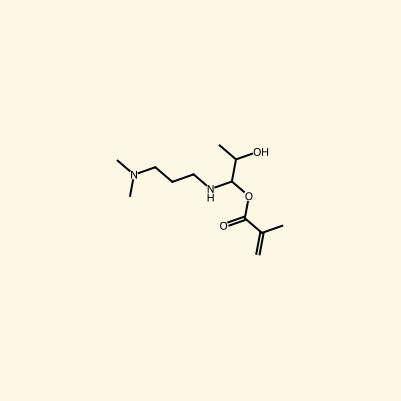 C=C(C)C(=O)OC(NCCCN(C)C)C(C)O